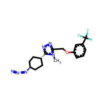 Cn1c(COc2cccc(C(F)(F)F)c2)nnc1[C@H]1CC[C@H](N=[N+]=[N-])CC1